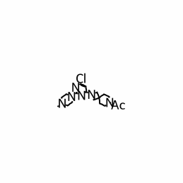 CC(=O)N1CCC2(CC1)CN(c1cc(Cl)nc(N3CCN(C)CC3)n1)C2